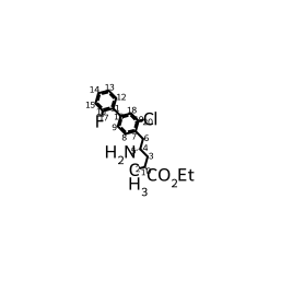 CCOC(=O)[C@H](C)C[C@H](N)Cc1ccc(-c2ccccc2F)cc1Cl